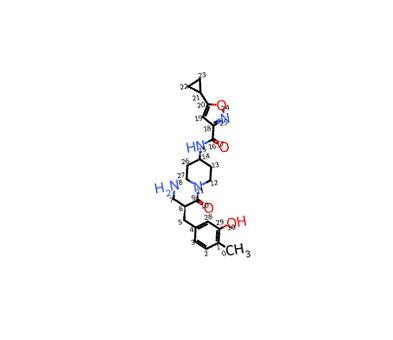 Cc1ccc(C[C@@H](CN)C(=O)N2CCC(NC(=O)c3cc(C4CC4)on3)CC2)cc1O